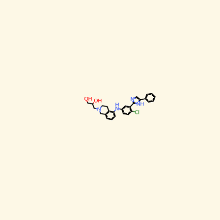 OCC(O)CN1CCc2c(cccc2Nc2ccc(Cl)c(-c3ncc(-c4ccccc4)[nH]3)c2)C1